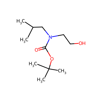 CC(C)CN(CCO)C(=O)OC(C)(C)C